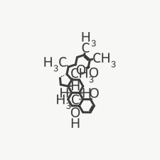 CC1=C(C)C(=O)OC([C@@H](C)[C@H]2CC[C@H]3[C@@H]4CCC5(O)CC=CC(=O)[C@]5(C)[C@H]4CC[C@]23C)C1